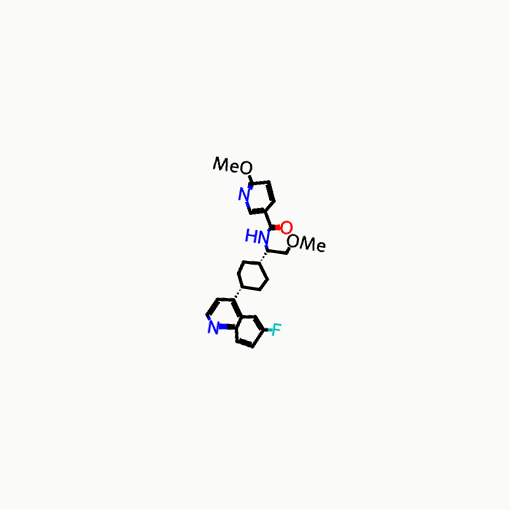 COCC(NC(=O)c1ccc(OC)nc1)[C@H]1CC[C@@H](c2ccnc3ccc(F)cc32)CC1